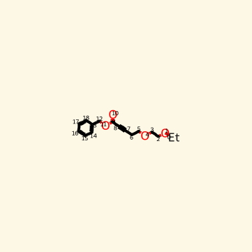 CCOCCOCCC#CC(=O)OCc1ccccc1